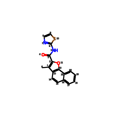 Cc1c(C(=O)Nc2nccs2)oc2c1ccc1ccccc12